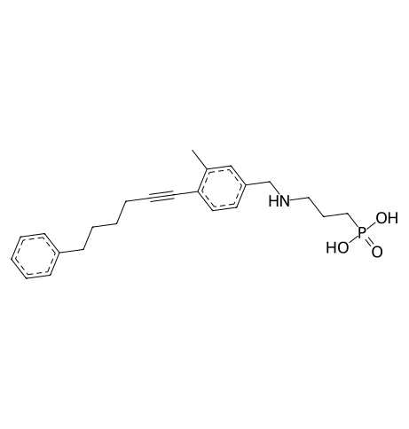 Cc1cc(CNCCCP(=O)(O)O)ccc1C#CCCCCc1ccccc1